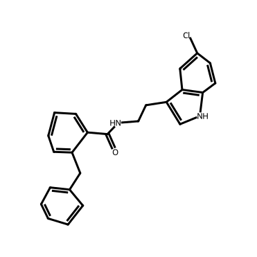 O=C(NCCc1c[nH]c2ccc(Cl)cc12)c1ccccc1Cc1ccccc1